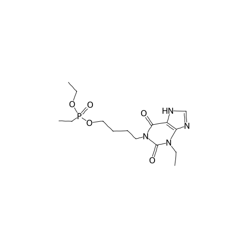 CCOP(=O)(CC)OCCCCn1c(=O)c2[nH]cnc2n(CC)c1=O